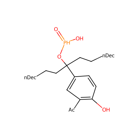 CCCCCCCCCCCCC(CCCCCCCCCCCC)(O[PH](=O)O)c1ccc(O)c(C(C)=O)c1